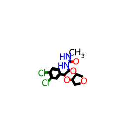 CNC(=O)NC(=O)C(OC1CCOCC1)c1ccc(Cl)c(Cl)c1